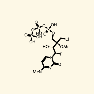 CNc1ccn([C@H](F)[C@H](O)[C@@](CCl)(COP(=O)(O)OP(=O)(O)OP(=O)(O)O)OC)c(=O)n1